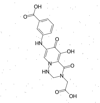 O=C(O)CN1CNn2cc(Nc3cccc(C(=O)O)c3)c(=O)c(O)c2C1=O